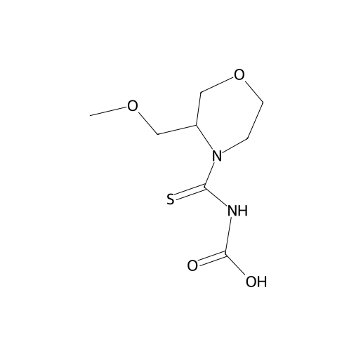 COCC1COCCN1C(=S)NC(=O)O